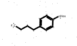 CCCCCCc1ccc(CCCC(F)(F)F)cc1